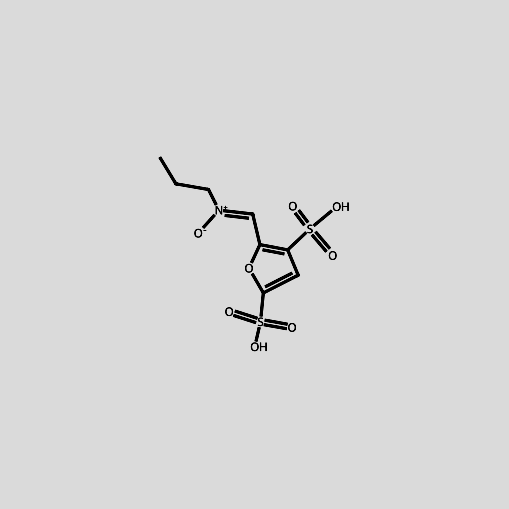 CCC[N+]([O-])=Cc1oc(S(=O)(=O)O)cc1S(=O)(=O)O